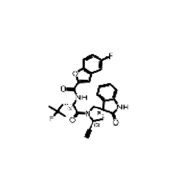 C#C[C@@H]1C[C@@]2(CN1C(=O)[C@H](CC(C)(C)F)NC(=O)c1cc3cc(F)ccc3o1)C(=O)Nc1ccccc12